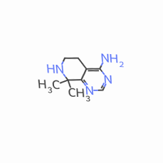 CC1(C)NCCc2c(N)ncnc21